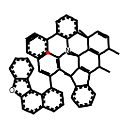 CC1C=CC2(C)C3=C1C(C)C1=C4C(C)(C5=C(CCC=C5c5cccc6ccc7oc8ccccc8c7c56)N(c5c(-c6c#cccc6)cccc52)C34C)c2ccccc21